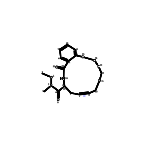 CON(C)C(=O)[C@@H]1C/C=C\COCCOCc2ccccc2C(=O)N1